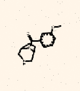 COc1cccc(C(=O)N2C3CCC2CNC3)c1